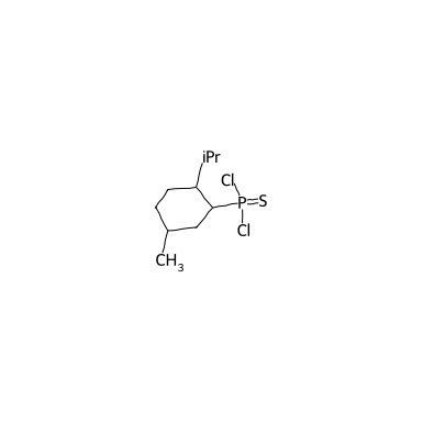 CC1CCC(C(C)C)C(P(=S)(Cl)Cl)C1